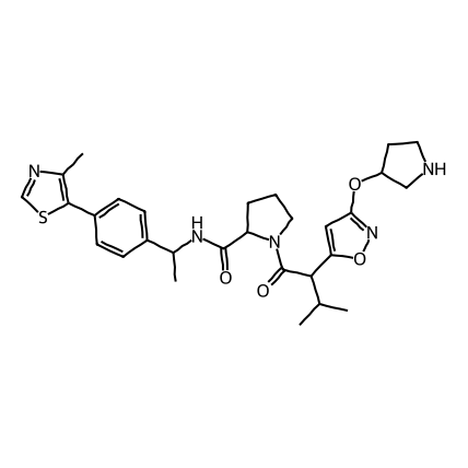 Cc1ncsc1-c1ccc(C(C)NC(=O)C2CCCN2C(=O)C(c2cc(OC3CCNC3)no2)C(C)C)cc1